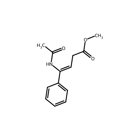 COC(=O)CC=C(NC(C)=O)c1ccccc1